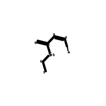 C=C(/C=C\I)SCC